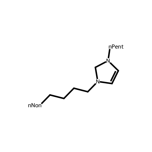 CCCCCCCCCCCCCN1C=CN(CCCCC)C1